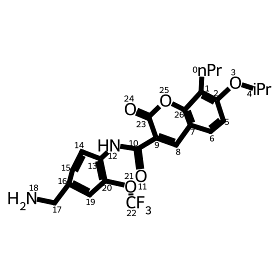 CCCc1c(OC(C)C)ccc2cc(C(=O)Nc3ccc(CN)cc3OC(F)(F)F)c(=O)oc12